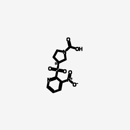 O=C(O)N1CC[C@H](S(=O)(=O)c2ncccc2[N+](=O)[O-])C1